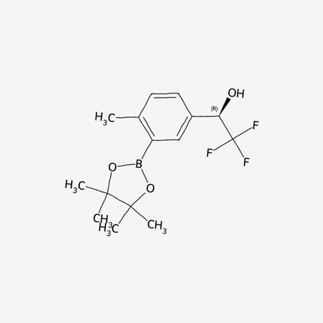 Cc1ccc([C@@H](O)C(F)(F)F)cc1B1OC(C)(C)C(C)(C)O1